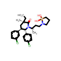 C[C@@H](CCN1CCCS1(O)O)N1C(=O)[C@](C)(CC(=O)O)C[C@H](c2cccc(Cl)c2)[C@H]1c1ccc(Cl)cc1